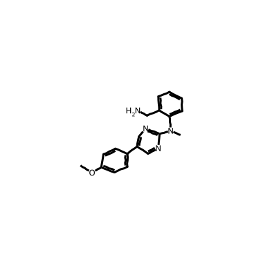 COc1ccc(-c2cnc(N(C)c3ccccc3CN)nc2)cc1